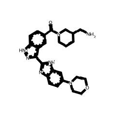 NCC1CCCN(C(=O)c2ccc3[nH]nc(-c4nc5ccc(N6CCOCC6)cc5[nH]4)c3c2)C1